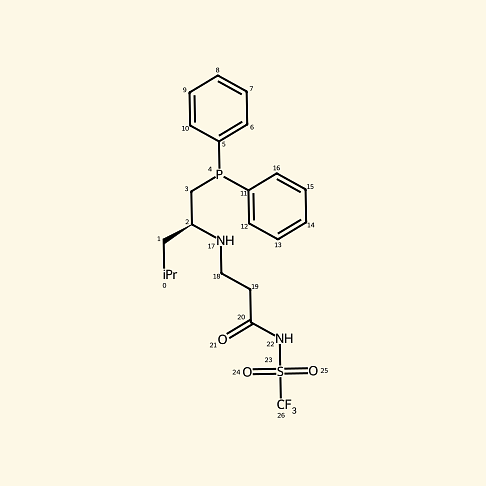 CC(C)C[C@@H](CP(c1ccccc1)c1ccccc1)NCCC(=O)NS(=O)(=O)C(F)(F)F